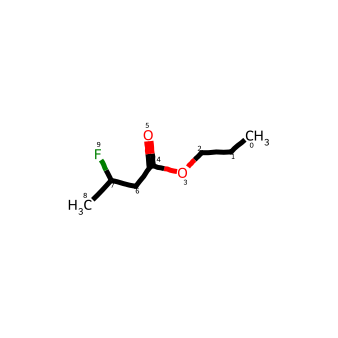 CCCOC(=O)CC(C)F